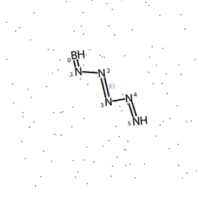 B=N/N=N/N=N